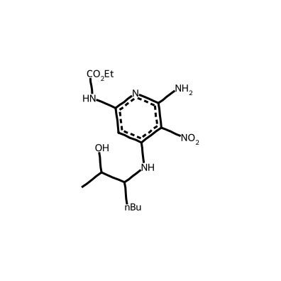 CCCCC(Nc1cc(NC(=O)OCC)nc(N)c1[N+](=O)[O-])C(C)O